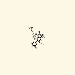 COCCO[C@H]1CSc2c(-c3ccc(F)c(Cl)c3)c(C)cc3c(=O)[nH]c(=O)n(c23)C1